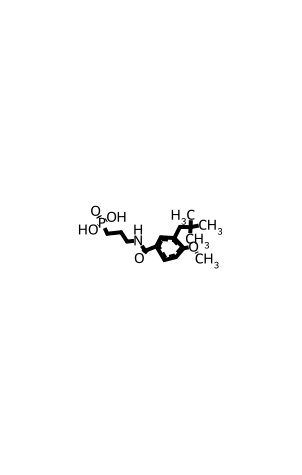 COc1ccc(C(=O)NCCCP(=O)(O)O)cc1CC(C)(C)C